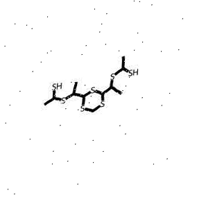 CC(S)SC(C)C1SCSC(C(C)SC(C)S)S1